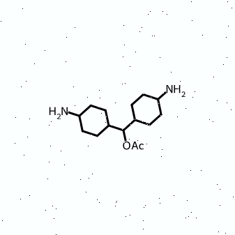 CC(=O)OC(C1CCC(N)CC1)C1CCC(N)CC1